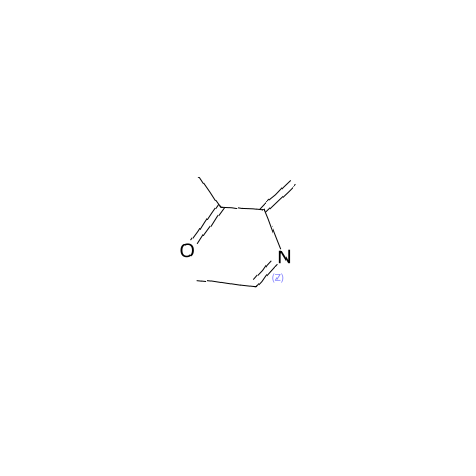 C=C(/N=C\C)C(C)=O